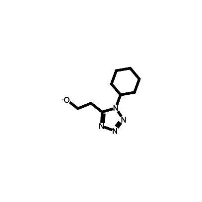 [O]CCc1nnnn1C1CCCCC1